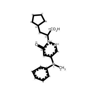 CN(c1ccccc1)c1cnn(C(CC2CCCC2)C(=O)O)c(=O)c1